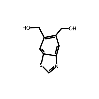 OCc1cc2ncsc2cc1CO